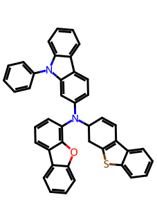 C1=CC(N(c2ccc3c4ccccc4n(-c4ccccc4)c3c2)c2cccc3c2oc2ccccc23)Cc2sc3ccccc3c21